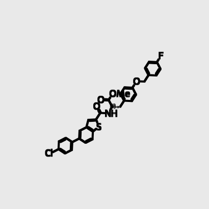 COC(=O)[C@H](Cc1ccc(OCc2ccc(F)cc2)cc1)NC(=O)c1cc2cc(-c3ccc(Cl)cc3)ccc2s1